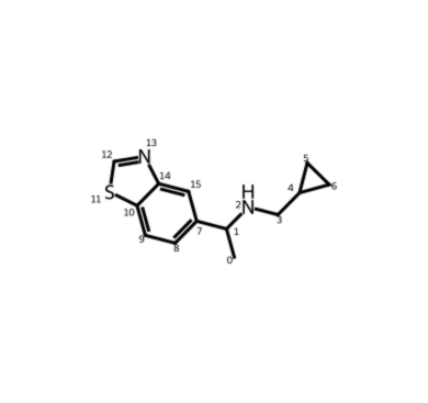 CC(NCC1CC1)c1ccc2scnc2c1